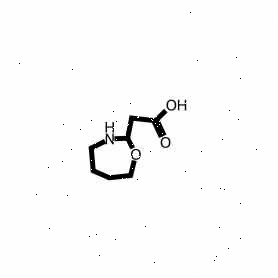 O=C(O)CC1NCCCCO1